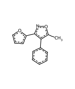 Cc1onc(-c2ccco2)c1-c1ccccc1